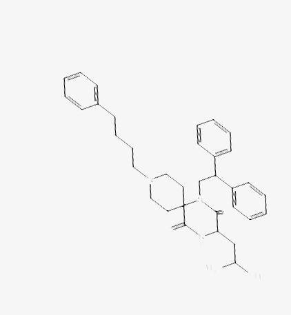 CC(C)CC1NC(=O)C2(CCN(CCCCc3ccccc3)CC2)N(CC(c2ccccc2)c2ccccc2)C1=O